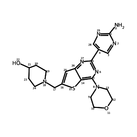 Nc1ncc(-c2nc(N3CCOCC3)c3sc(CN4CCC(O)CC4)cc3n2)cn1